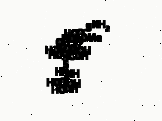 CO[C@H]1O[C@H](CO[C@H]2O[C@H](CO[C@H]3O[C@H](CO)[C@@H](O)[C@H](O)[C@H]3OCCCSCCNC(=N)CS[C@H]3OC(CO)[C@@H](O)[C@H](O)C3O)[C@@H](O)[C@H](O)[C@H]2O)[C@@H](O)[C@H](O)[C@H]1OCCCSCCN